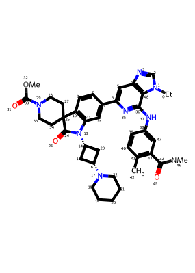 CCn1cnc2cc(-c3ccc4c(c3)N([C@H]3C[C@@H](N5CCCCC5)C3)C(=O)C43CCN(C(=O)OC)CC3)nc(Nc3ccc(C)c(C(=O)NC)c3)c21